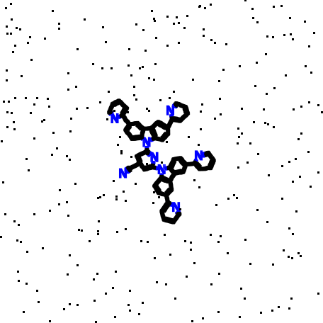 N#Cc1cc(-n2c3ccc(-c4ccccn4)cc3c3cc(-c4ccccn4)ccc32)nc(-n2c3ccc(-c4ccccn4)cc3c3cc(-c4ccccn4)ccc32)c1